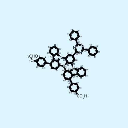 O=COc1ccc(-c2ccc3c4c2c2ccccc2n4-c2cc(-c4nc(-c5ccccc5)nc(-c5ccccc5)n4)cc4c2B3c2ccc(-c3ccc(C(=O)O)cc3)c3c5ccccc5n-4c23)cc1